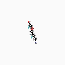 C/C=C/c1ccc(-c2ccc(C3CCC(OC(=O)c4ccc(C5CO5)cc4F)CC3)c(F)c2F)cc1